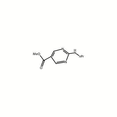 CCCNc1ncc(C(=O)OC)cn1